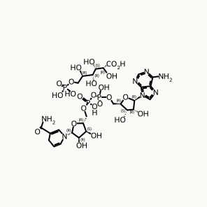 NC(=O)C1=CN([C@@H]2O[C@H](COP(=O)(O)OP(=O)(O)OC[C@H]3O[C@@H](n4cnc5c(N)ncnc54)[C@H](O)[C@@H]3O)[C@@H](O)[C@H]2O)C=CC1.O=C(O)[C@H](O)[C@@H](O)[C@H](O)[C@H](O)COP(=O)(O)O